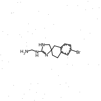 NCNC1=NC2(CCc3cc(Br)ccc3C2)CN1